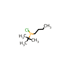 CCCCP(Cl)C(C)(C)C